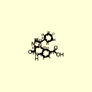 O=C(O)c1ccc2[nH]c(=O)c3nnc(-c4ccccc4)n3c2c1